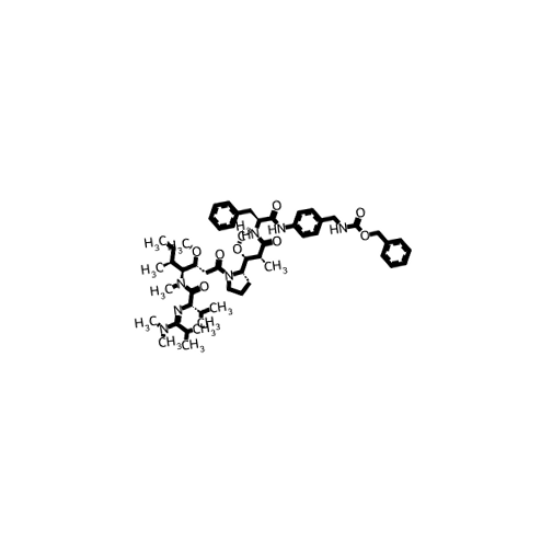 CC[C@H](C)[C@@H]([C@@H](CC(=O)N1CCC[C@H]1[C@H](OC)[C@@H](C)C(=O)N[C@@H](Cc1ccccc1)C(=O)Nc1ccc(CNC(=O)OCc2ccccc2)cc1)OC)N(C)C(=O)[C@@H](/N=C(\C(C)C)N(C)C)C(C)C